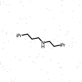 CC(C)CCCNCCC(C)C